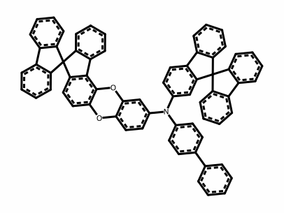 c1ccc(-c2ccc(N(c3ccc4c(c3)Oc3c(ccc5c3-c3ccccc3C53c5ccccc5-c5ccccc53)O4)c3ccc4c(c3)C3(c5ccccc5-c5ccccc53)c3ccccc3-4)cc2)cc1